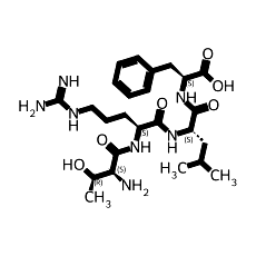 CC(C)C[C@H](NC(=O)[C@H](CCCNC(=N)N)NC(=O)[C@@H](N)[C@@H](C)O)C(=O)N[C@@H](Cc1ccccc1)C(=O)O